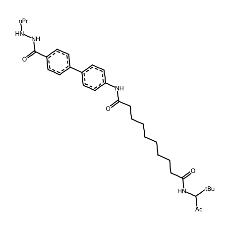 CCCNNC(=O)c1ccc(-c2ccc(NC(=O)CCCCCCCCC(=O)NC(C(C)=O)C(C)(C)C)cc2)cc1